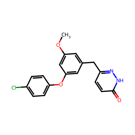 COc1cc(Cc2ccc(=O)[nH]n2)cc(Oc2ccc(Cl)cc2)c1